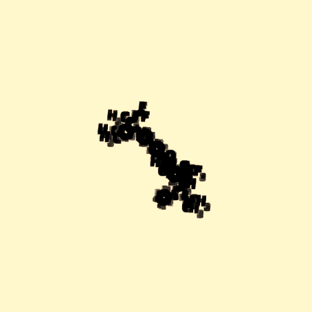 C=C(CCC(F)F)C1=C(CN2CCN(c3ccc(C(=O)NS(=O)(=O)c4ccc(N[C@H](CCN(C)C)CSc5ccccc5)c(S(=O)(=O)C(F)(F)F)c4)cc3)CC2)CCC(C)(C)C1